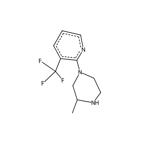 CC1CN(c2ncccc2C(F)(F)F)CCN1